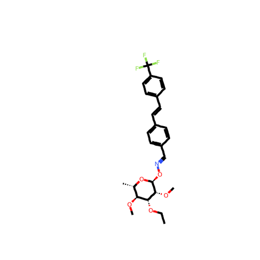 CCO[C@@H]1[C@@H](OC)[C@H](C)O[C@@H](O/N=C/c2ccc(/C=C/c3ccc(C(F)(F)F)cc3)cc2)[C@@H]1OC